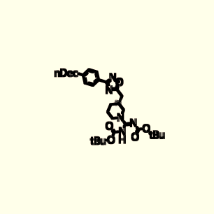 CCCCCCCCCCc1ccc(-c2noc(C[C@@H]3CCCN(C(=NC(=O)OC(C)(C)C)NC(=O)OC(C)(C)C)C3)n2)cc1